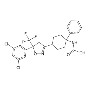 O=C(O)NC1(c2ccccc2)CCC(C2=NOC(c3cc(Cl)cc(Cl)c3)(C(F)(F)F)C2)CC1